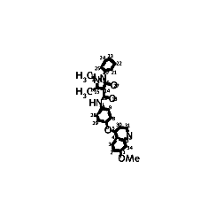 COc1ccc2c(Oc3ccc(NC(=O)c4c(C)n(C)n(-c5ccccc5)c4=O)cc3)ccnc2c1